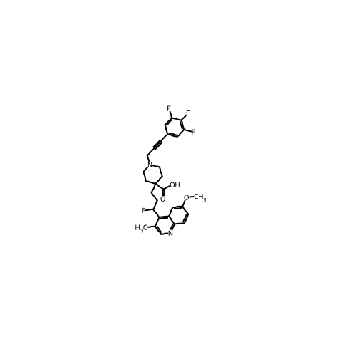 COc1ccc2ncc(C)c(C(F)CCC3(C(=O)O)CCN(CC#Cc4cc(F)c(F)c(F)c4)CC3)c2c1